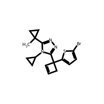 CC1(c2nnc(C3(c4ccc(Br)s4)C=CC3)n2C2CC2)CC1